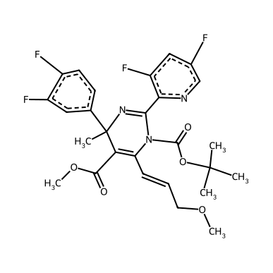 COCC=CC1=C(C(=O)OC)C(C)(c2ccc(F)c(F)c2)N=C(c2ncc(F)cc2F)N1C(=O)OC(C)(C)C